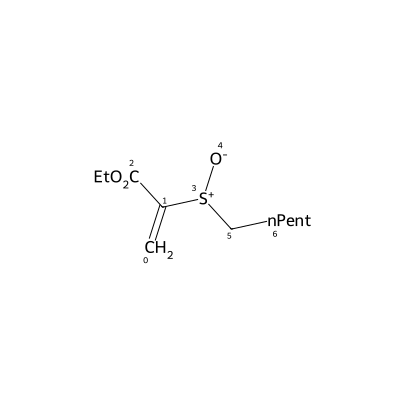 C=C(C(=O)OCC)[S+]([O-])CCCCCC